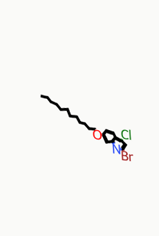 CCCCCCCCCCCCOc1ccc2c(Cl)cc(Br)nc2c1